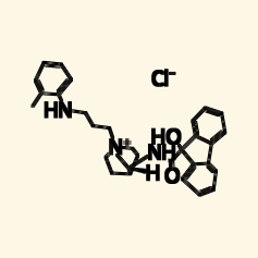 Cc1ccccc1NCCC[N+]12CCC(CC1)[C@@H](NC(=O)C1(O)c3ccccc3-c3ccccc31)C2.[Cl-]